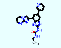 CCNC(=O)Nc1nc2cc(-c3cccnc3)cc(-c3cn4cccnc4n3)c2[nH]1